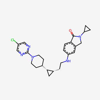 O=C1c2ccc(NCC[C@@H]3C[C@@H]3C3CCN(c4ncc(Cl)cn4)CC3)cc2CN1C1CC1